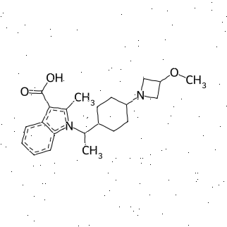 COC1CN(C2CCC(C(C)n3c(C)c(C(=O)O)c4ccccc43)CC2)C1